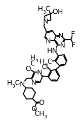 COC(=O)C1CCC(N(C)Cc2ncc(-c3cccc(-c4cccc(Nc5nc(C(F)F)nc6cc(CN7CC(C)(O)C7)cnc56)c4C)c3Cl)nc2OC)CC1